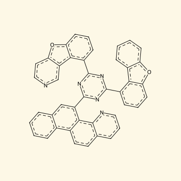 c1ccc2c(c1)cc(-c1nc(-c3cccc4oc5ccccc5c34)nc(-c3cccc4oc5ccncc5c34)n1)c1c2ccc2cccnc21